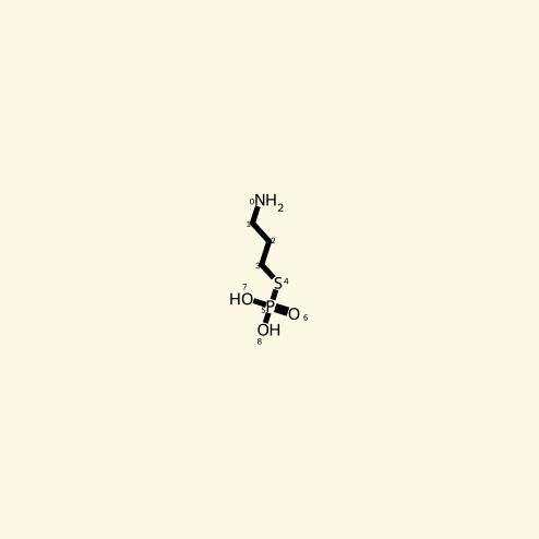 NCCCSP(=O)(O)O